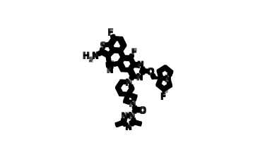 Cc1nc(C)n(C(=O)N2CC3(CCCN(c4nc(OC[C@@]56CCCN5C[C@H](F)C6)nc5c(F)c(-c6ccc(F)c7sc(N)c(C#N)c67)c(Cl)cc45)C3)C2)n1